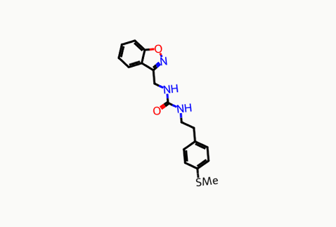 CSc1ccc(CCNC(=O)NCc2noc3ccccc23)cc1